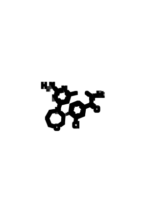 CCN(C)C(=O)c1ccc([C@@H]2COCCCN2c2cc(C)nc(N)n2)c(Cl)c1